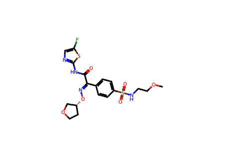 COCCNS(=O)(=O)c1ccc(/C(=N\O[C@@H]2CCOC2)C(=O)Nc2ncc(F)s2)cc1